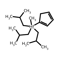 CC(C)[CH2][Hf]([CH3])([CH2]C(C)C)([CH2]C(C)C)[C]1=CC=CC1